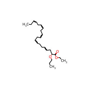 CC/C=C\C/C=C\C/C=C\C/C=C\CC/C=C/CC(OCCC)C(=O)OCC